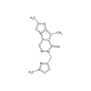 Cc1cn2c(s1)c(C)c1c(=O)n(Cc3ccn(C)n3)ncc12